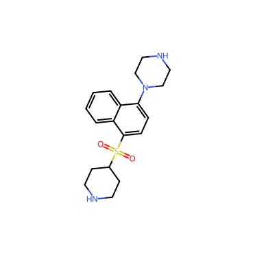 O=S(=O)(c1ccc(N2CCNCC2)c2ccccc12)C1CCNCC1